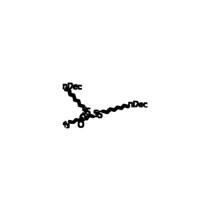 CCCCCCCCCCCCCCCCCCSSCC(COC(=O)CCCN(C)C)SSCCCCCCCCCCCCCCCCCC